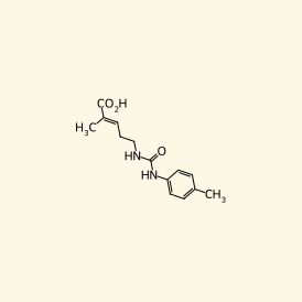 C/C(=C\CCNC(=O)Nc1ccc(C)cc1)C(=O)O